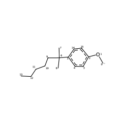 [CH2]Oc1ccc(C(C)(C)CCCCC)cc1